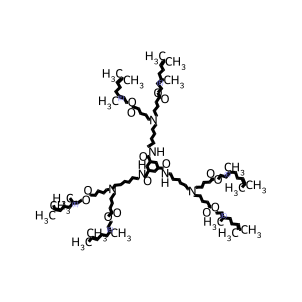 CC(C)=CCC/C(C)=C/COC(=O)CCCCN(CCCCCCNC(=O)C1CC(C(=O)NCCCCCCN(CCCCC(=O)OC/C=C(\C)CCC=C(C)C)CCCCC(=O)OC/C=C(\C)CCC=C(C)C)CC(C(=O)NCCCCCCN(CCCCC(=O)OC/C=C(\C)CCC=C(C)C)CCCCC(=O)OC/C=C(\C)CCC=C(C)C)C1)CCCCC(=O)OC/C=C(\C)CCC=C(C)C